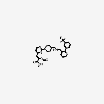 CNC(=O)/C(=C/c1ccnc(N2CCC(CNCc3cccnc3-c3cccc(C(F)(F)F)c3)CC2)n1)SC=O